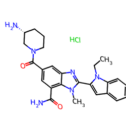 CCn1c(-c2nc3cc(C(=O)N4CCC[C@@H](N)C4)cc(C(N)=O)c3n2C)cc2ccccc21.Cl